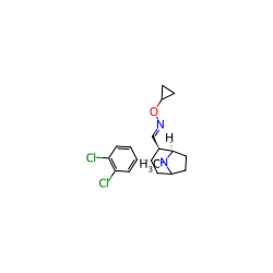 CN1C2CC[C@@H]1[C@H](C=NOC1CC1)[C@@H](c1ccc(Cl)c(Cl)c1)C2